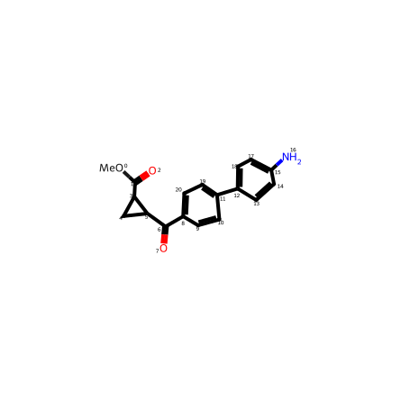 COC(=O)C1CC1C(=O)c1ccc(-c2ccc(N)cc2)cc1